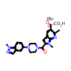 Cc1nc2c(cc1[C@H](OC(C)(C)C)C(=O)O)cc(C(=O)N1CCN(c3ccc4c(cnn4C)c3)CC1)n2C